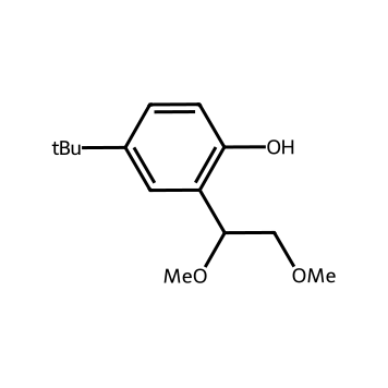 COCC(OC)c1cc(C(C)(C)C)ccc1O